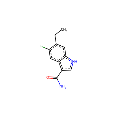 CCc1cc2[nH]cc(C(N)=O)c2cc1F